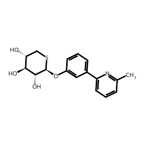 Cc1cccc(-c2cccc(O[C@@H]3SC[C@@H](O)[C@H](O)[C@H]3O)c2)n1